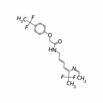 C\C=N/C(=C\C=C\CNC(=O)COc1ccc(C(C)(F)F)cc1)C(C)(F)F